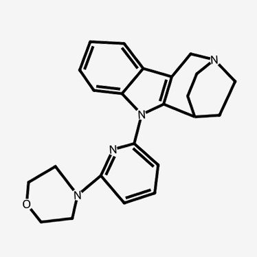 c1cc(N2CCOCC2)nc(-n2c3c(c4ccccc42)CN2CCC3CC2)c1